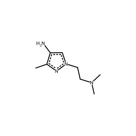 Cc1nn(CCN(C)C)cc1N